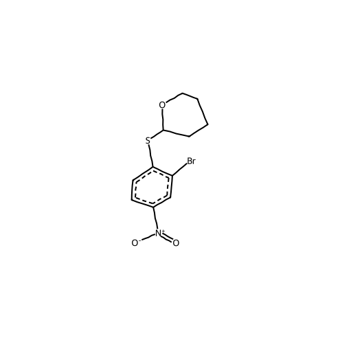 O=[N+]([O-])c1ccc(SC2CCCCO2)c(Br)c1